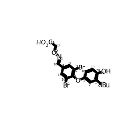 CCC(C)c1cc(Oc2c(Br)cc(C=NOCC(=O)O)cc2Br)ccc1O